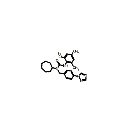 Cc1cc(C)c(NC(=O)N(Cc2ccc(-n3cncn3)cc2)C2CCCCCC2)c(C)c1